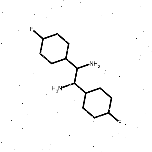 NC(C1CCC(F)CC1)C(N)C1CCC(F)CC1